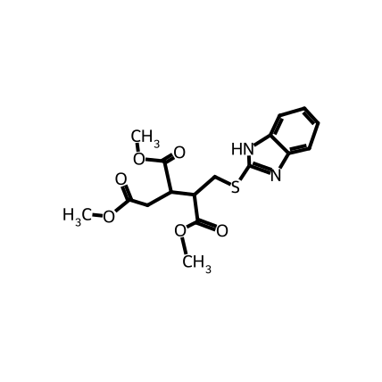 COC(=O)CC(C(=O)OC)C(CSc1nc2ccccc2[nH]1)C(=O)OC